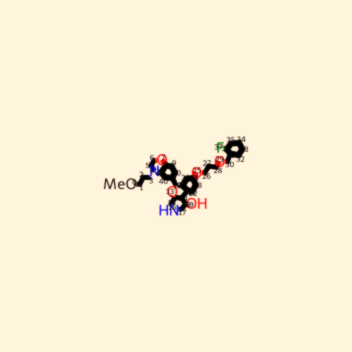 COCCCN1CCOc2ccc(COC3CNCC(O)C3c3ccc(OCCCOCc4ccccc4F)cc3)cc21